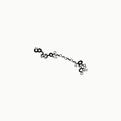 O=C1CCC(N2Cc3c(NCCOCCOCCOCCNC(=O)c4ccc(-c5cnc6ncc(Cc7ccc8ncccc8c7)n6n5)cc4F)cccc3C2=O)C(=O)N1